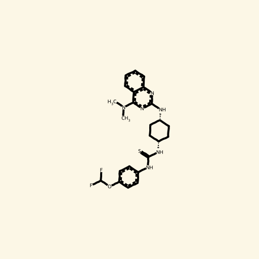 CN(C)c1nc(N[C@H]2CC[C@@H](NC(=S)Nc3ccc(OC(F)F)cc3)CC2)nc2ccccc12